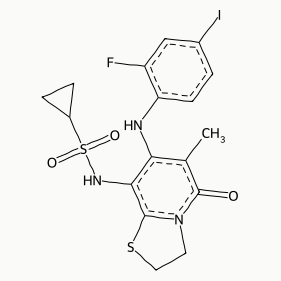 Cc1c(Nc2ccc(I)cc2F)c(NS(=O)(=O)C2CC2)c2n(c1=O)CCS2